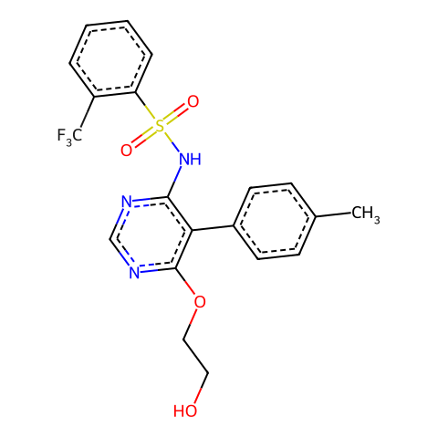 Cc1ccc(-c2c(NS(=O)(=O)c3ccccc3C(F)(F)F)ncnc2OCCO)cc1